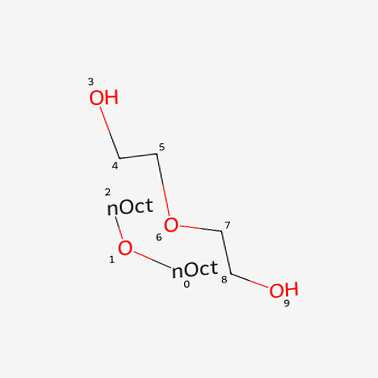 CCCCCCCCOCCCCCCCC.OCCOCCO